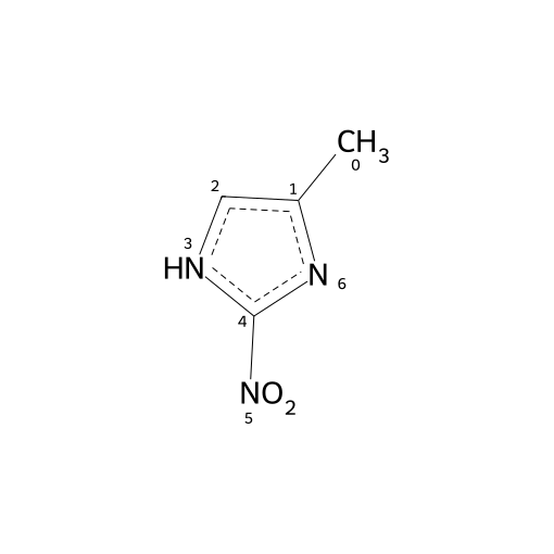 Cc1c[nH]c([N+](=O)[O-])n1